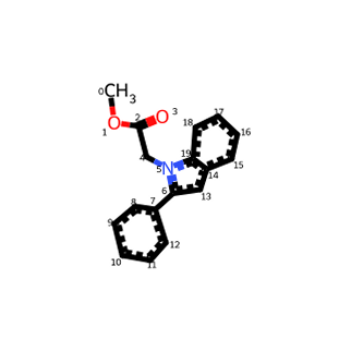 COC(=O)Cn1c(-c2ccccc2)cc2ccccc21